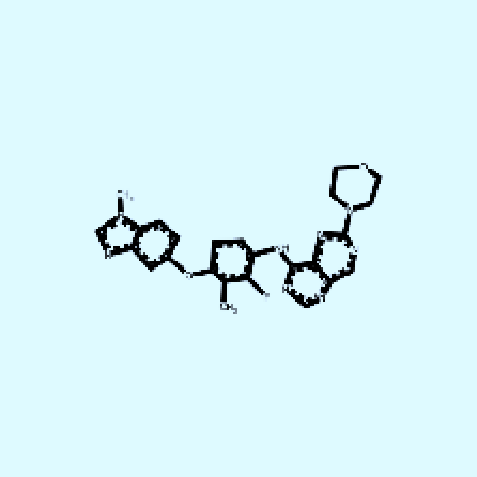 Cc1c(Oc2ccc3c(c2)ncn3C)ccc(Nc2ncnc3cnc(N4CCOCC4)nc23)c1F